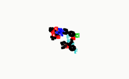 CC[Si](CC)(CC)OC(C)(c1ccc(F)cc1)C(F)(F)CCOc1c(Cl)ccc(-c2ccn3nc(N(C(=O)OC(C)(C)C)C(=O)OC(C)(C)C)nc3c2)c1F